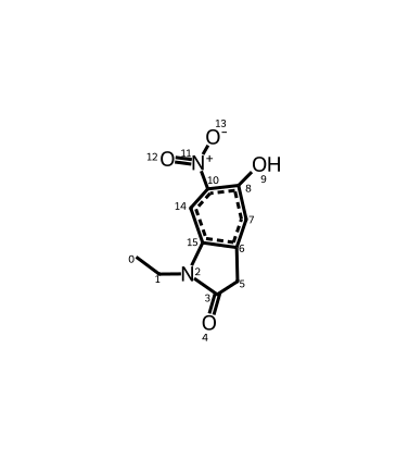 CCN1C(=O)Cc2cc(O)c([N+](=O)[O-])cc21